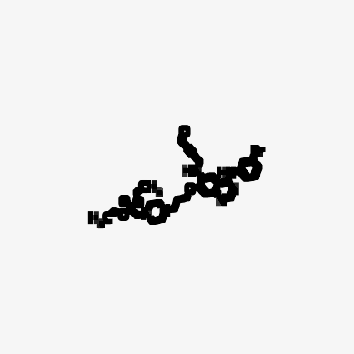 CCOP(=O)(CN1CCN(CCCOc2cc3ncnc(Nc4cccc(Br)c4)c3cc2NCC#CC=O)CC1)OCC